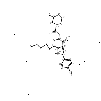 CCCCCC1CN(CC(=O)N2CCC[C@H](C)C2)C(=O)C2=CC(c3ccc(Cl)cc3)NN21